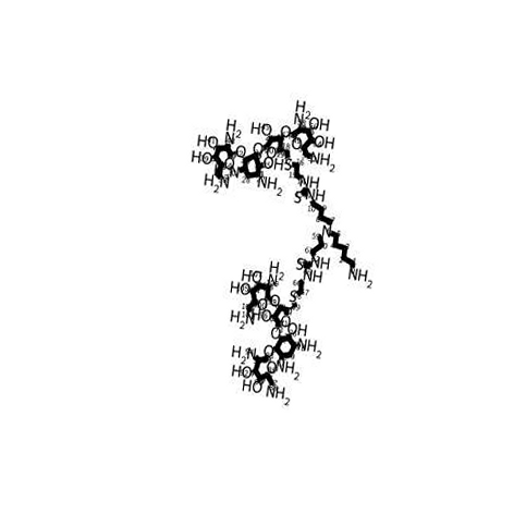 NCCCCCN(CCCCNC(=S)NCCSC[C@H]1OC(O[C@@H]2C(O)[C@H](N)CC(N)[C@H]2O[C@H]2OC(CN)[C@@H](O)[C@H](O)C2N)[C@@H](O)[C@H]1O[C@H]1OC(CN)C(O)[C@@H](O)[C@H]1N)CCCNC(=S)NCCSC[C@H]1OC(O[C@@H]2C(O)[C@H](N)CC(N)[C@H]2O[C@H]2OC(CN)[C@@H](O)[C@H](O)C2N)[C@@H](O)[C@H]1O[C@H]1OC(CN)C(O)[C@@H](O)[C@H]1N